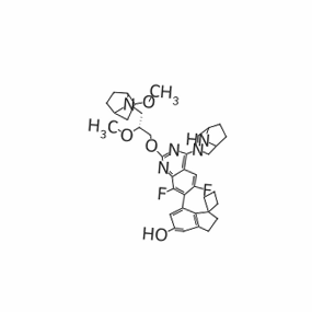 COC1CC2CCC1N2C[C@H](COc1nc(N2CC3CCC(C2)N3)c2cc(F)c(-c3cc(O)cc4c3C3(CCC3)CC4)c(F)c2n1)OC